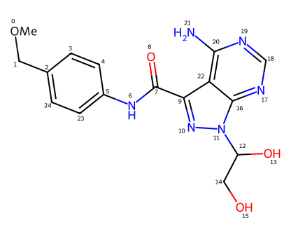 COCc1ccc(NC(=O)c2nn(C(O)CO)c3ncnc(N)c23)cc1